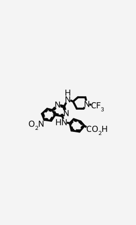 O=C(O)c1ccc(Nc2nc(NC3CCN(C(F)(F)F)CC3)nc3ccc([N+](=O)[O-])cc23)cc1